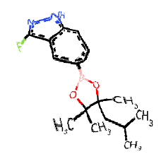 CC(C)CC1(C)OB(c2ccc3[nH]nc(F)c3c2)OC1(C)C